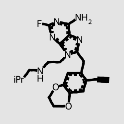 C#Cc1cc2c(cc1Cc1nc3c(N)nc(F)nc3n1CCNCC(C)C)OCCO2